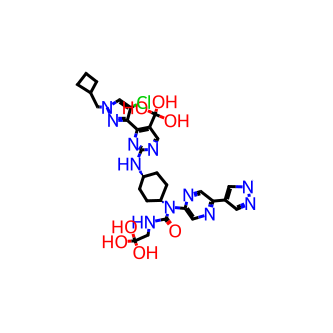 Cn1cc(-c2cnc(N(C(=O)NCC(O)(O)O)[C@H]3CC[C@H](Nc4ncc(C(O)(O)O)c(-c5nn(CC6CCC6)cc5Cl)n4)CC3)cn2)cn1